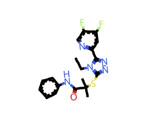 CCn1c(SC(C)(C)C(=O)Nc2ccccc2)nnc1-c1cc(F)c(F)cn1